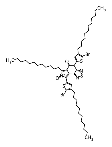 CCCCCCCCCCCCC1=C2C(=O)C(c3cc(CCCCCCCCCCCC)c(Br)s3)c3nsnc3C2=C(c2cc(CCCCCCCCCCCC)c(Br)s2)[N+]1=O